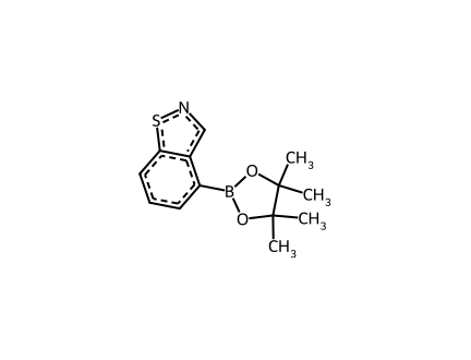 CC1(C)OB(c2cccc3sncc23)OC1(C)C